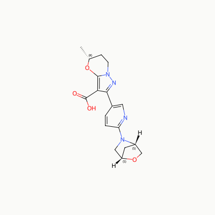 C[C@@H]1CCn2nc(-c3ccc(N4C[C@@H]5C[C@H]4CO5)nc3)c(C(=O)O)c2O1